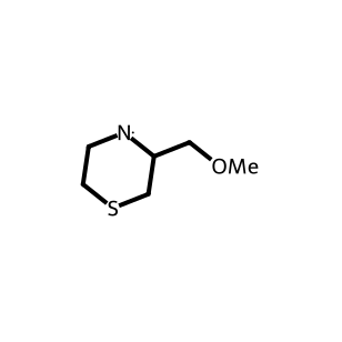 COCC1CSCC[N]1